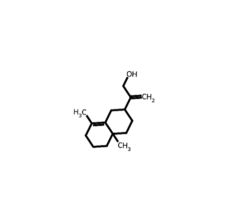 C=C(CO)C1CCC2(C)CCCC(C)=C2C1